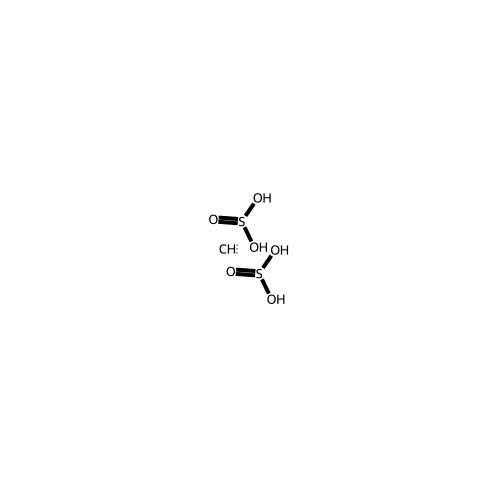 O=S(O)O.O=S(O)O.[CH]